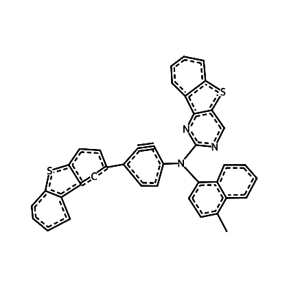 Cc1ccc(N(c2c#cc(-c3ccc4sc5ccccc5c4c3)cc2)c2ncc3sc4ccccc4c3n2)c2ccccc12